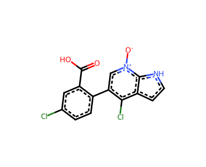 O=C(O)c1cc(Cl)ccc1-c1c[n+]([O-])c2[nH]ccc2c1Cl